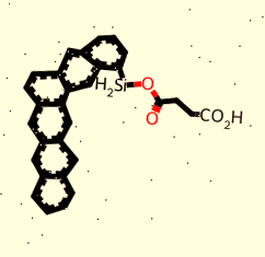 O=C(O)CCC(=O)O[SiH2]c1cccc2cc3ccc4cc5cc6ccccc6cc5cc4c3cc12